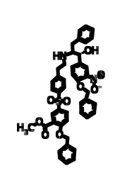 COC(=O)c1cc(S(=O)(=O)c2ccc(CCNC(Cc3ccccc3)[C@H](O)c3ccc(OCc4ccccc4)c([N+](=O)[O-])c3)cc2)ccc1OCc1ccccc1